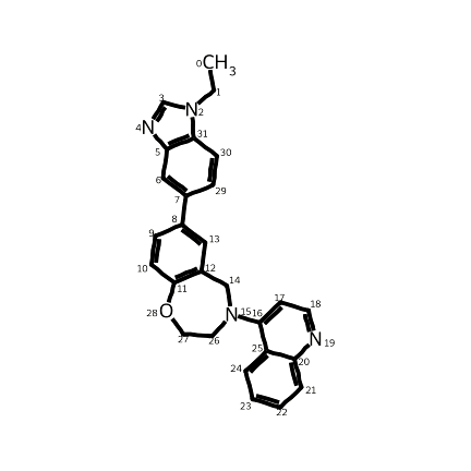 CCn1cnc2cc(-c3ccc4c(c3)CN(c3ccnc5ccccc35)CCO4)ccc21